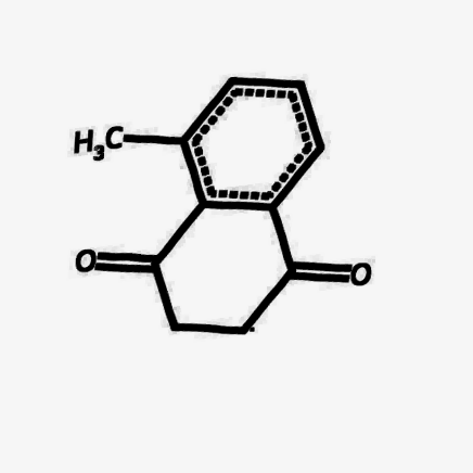 Cc1cccc2c1C(=O)C[CH]C2=O